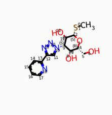 CS[C@@H]1O[C@H](CO)[C@H](O)[C@H](n2cc(-c3ccccn3)nn2)[C@H]1O